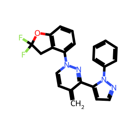 C=C1C=CN(c2cccc3c2CC(F)(F)O3)N=C1c1ccnn1-c1ccccc1